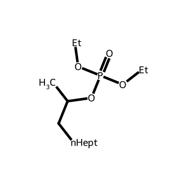 CCCCCCCCC(C)OP(=O)(OCC)OCC